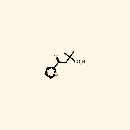 CC(C)(CC(=O)c1cccs1)C(=O)O